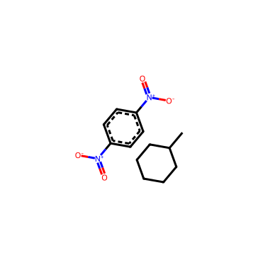 CC1CCCCC1.O=[N+]([O-])c1ccc([N+](=O)[O-])cc1